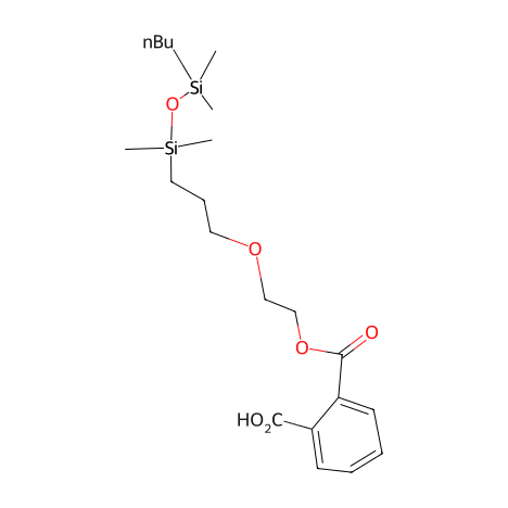 CCCC[Si](C)(C)O[Si](C)(C)CCCOCCOC(=O)c1ccccc1C(=O)O